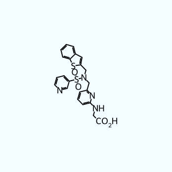 O=C(O)CNc1cccc(CN(Cc2cc3ccccc3s2)S(=O)(=O)c2cccnc2)n1